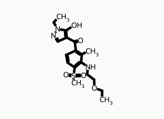 CCOCCNc1c(S(C)(=O)=O)ccc(C(=O)c2cnn(CC)c2O)c1C